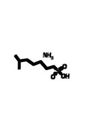 CC(C)CCCCCS(=O)(=O)O.N